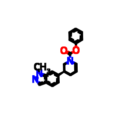 Cn1ncc2ccc([C@@H]3CC=CN(C(=O)Oc4ccccc4)C3)cc21